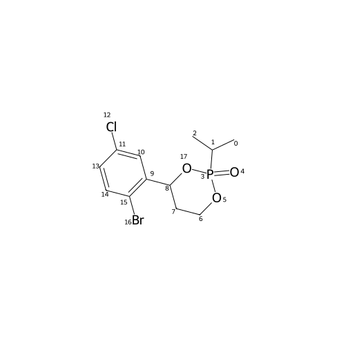 CC(C)P1(=O)OCCC(c2cc(Cl)ccc2Br)O1